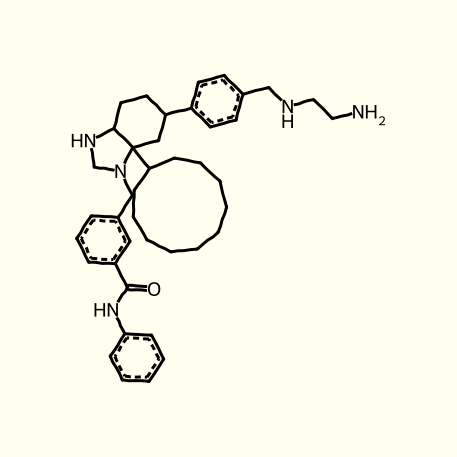 NCCNCc1ccc(C2CCC3NCN(Cc4cccc(C(=O)Nc5ccccc5)c4)C3(C3CCCCCCCCCC3)C2)cc1